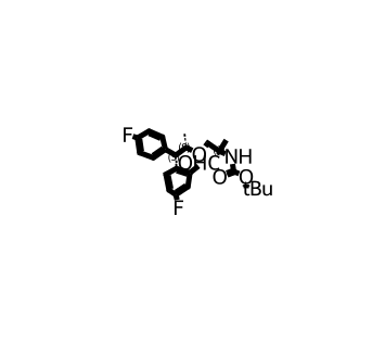 Cc1cc(F)ccc1[C@H](c1ccc(F)cc1)[C@H](C)OC[C@@](C)(C=O)NC(=O)OC(C)(C)C